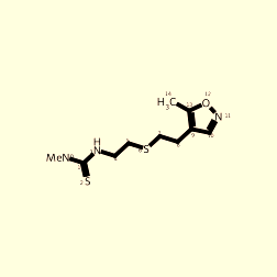 CNC(=S)NCCSCCc1cnoc1C